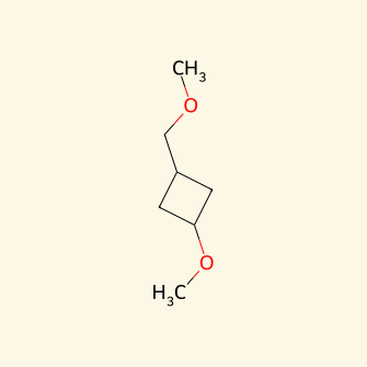 COCC1CC(OC)C1